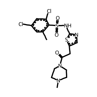 Cc1cc(Cl)cc(Cl)c1S(=O)(=O)Nc1ncc(CC(=O)N2CCN(C)CC2)s1